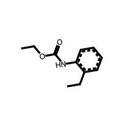 CCOC(=O)Nc1ccccc1CC